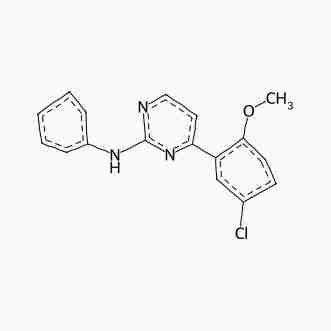 COc1ccc(Cl)cc1-c1ccnc(Nc2ccccc2)n1